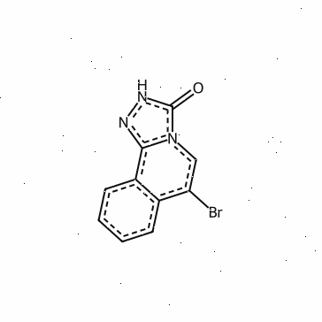 O=c1[nH]nc2c3ccccc3c(Br)cn12